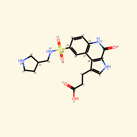 O=C(O)CCc1c[nH]c2c(=O)[nH]c3ccc(S(=O)(=O)NCC4CCNC4)cc3c12